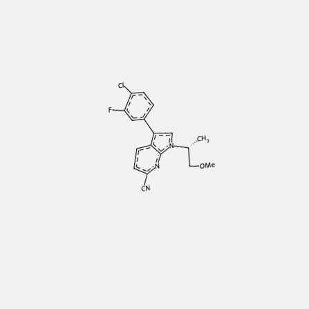 COC[C@@H](C)n1cc(-c2ccc(Cl)c(F)c2)c2ccc(C#N)nc21